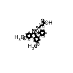 COc1ccc(-c2nc(SCCCC(=O)O)n(-c3ccccc3)c2-c2ccc(OC)cc2)cc1